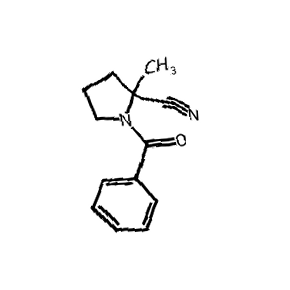 CC1(C#N)CCCN1C(=O)c1ccccc1